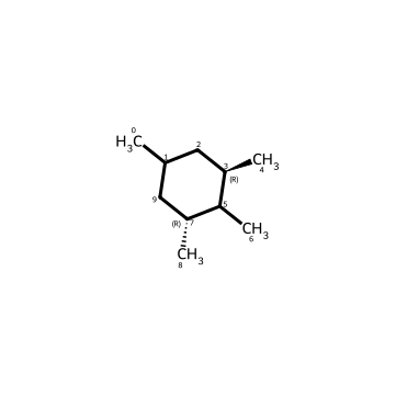 CC1C[C@@H](C)C(C)[C@H](C)C1